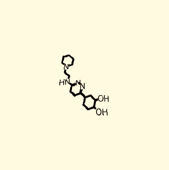 OC1CCC(C2=NN=C(NCCN3CCCCC3)CC2)CC1O